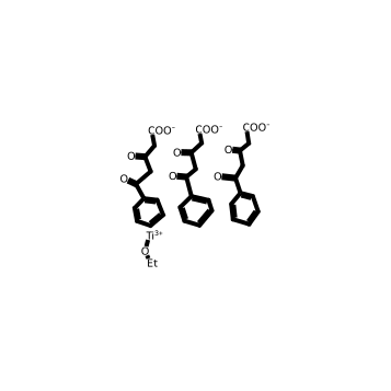 CC[O][Ti+3].O=C([O-])CC(=O)CC(=O)c1ccccc1.O=C([O-])CC(=O)CC(=O)c1ccccc1.O=C([O-])CC(=O)CC(=O)c1ccccc1